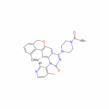 CCCCC(=O)N1CCN(c2nc(=O)n(-c3c(C)ccnc3C(C)C)c3c(F)c4c(cc23)OCc2cccc(OC)c2-4)CC1